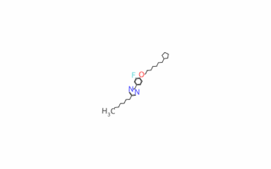 CCCCCCCc1cnc(-c2ccc(OCCCCCCCC3CCCC3)c(F)c2)nc1